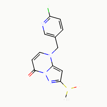 C[S+]([O-])c1cc2n(Cc3ccc(Cl)nc3)ccc(=O)n2n1